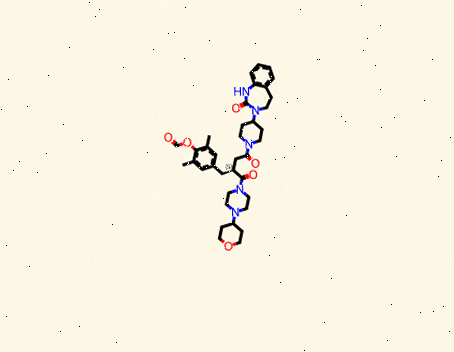 Cc1cc(C[C@@H](CC(=O)N2CCC(N3CCc4ccccc4NC3=O)CC2)C(=O)N2CCN(C3CCOCC3)CC2)cc(C)c1OC=O